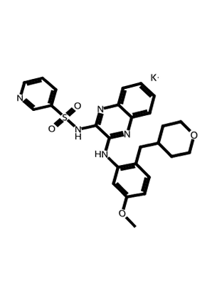 COc1ccc(CC2CCOCC2)c(Nc2nc3ccccc3nc2NS(=O)(=O)c2cccnc2)c1.[K]